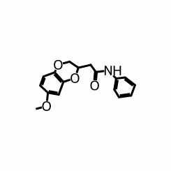 COc1ccc2c(c1)OC(CC(=O)Nc1ccccc1)CO2